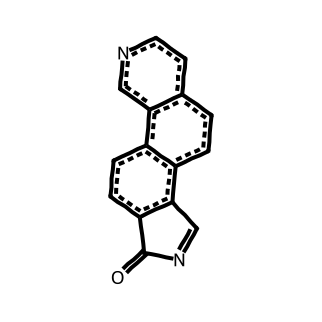 O=C1N=Cc2c1ccc1c2ccc2ccncc21